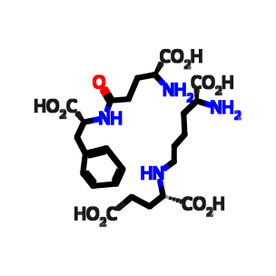 N[C@@H](CCC(=O)N[C@@H](Cc1ccccc1)C(=O)O)C(=O)O.N[C@@H](CCCCN[C@@H](CCC(=O)O)C(=O)O)C(=O)O